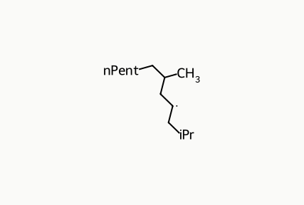 CCCCCCC(C)C[CH]CC(C)C